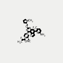 C=C(F)C(=O)N1CCN(c2nc(OC[C@@H]3CCCN3C)nc3cc(-c4nc(N)ccc4C(F)(F)F)c4ccoc4c23)C[C@@H]1CC#N